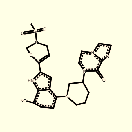 CS(=O)(=O)N1CC=C(c2cc3c(N4CCCC(n5ccn6ccnc6c5=O)C4)ccc(C#N)c3[nH]2)CC1